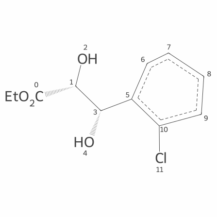 CCOC(=O)[C@H](O)[C@@H](O)c1ccccc1Cl